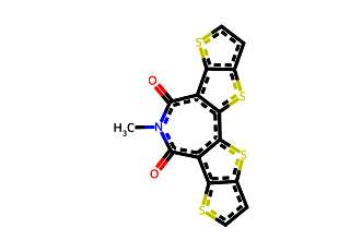 Cn1c(=O)c2c3sccc3sc2c2sc3ccsc3c2c1=O